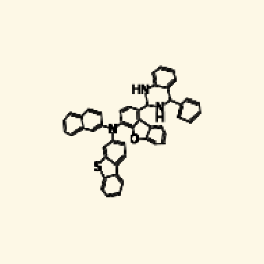 c1ccc(C2NC(c3ccc(N(c4ccc5ccccc5c4)c4ccc5c(c4)sc4ccccc45)c4oc5ccccc5c34)Nc3ccccc32)cc1